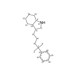 CC(C)(CCCC1CNC2CCCCC12)c1ccccc1